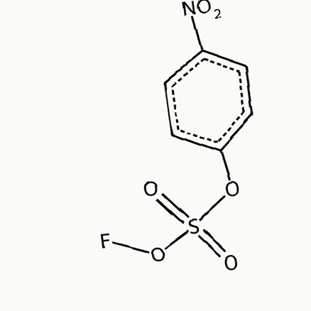 O=[N+]([O-])c1ccc(OS(=O)(=O)OF)cc1